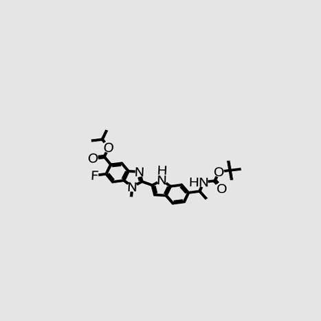 CC(C)OC(=O)c1cc2nc(-c3cc4ccc(C(C)NC(=O)OC(C)(C)C)cc4[nH]3)n(C)c2cc1F